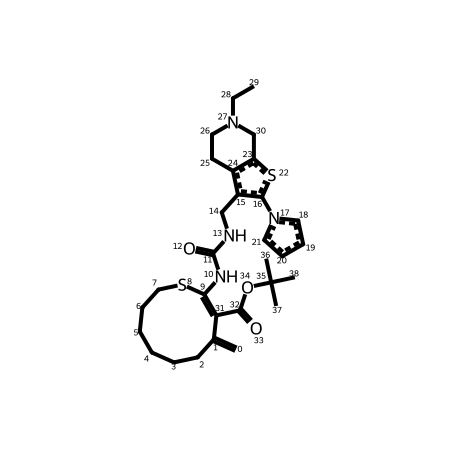 C=C1CCCCCCS/C(NC(=O)NCc2c(-n3cccc3)sc3c2CCN(CC)C3)=C\1C(=O)OC(C)(C)C